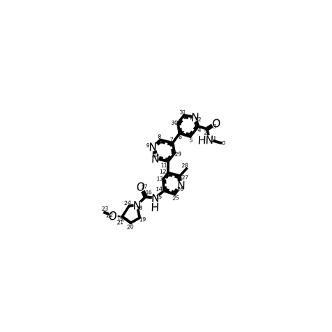 CNC(=O)c1cc(-c2cnnc(-c3cc(NC(=O)N4CC[C@H](OC)C4)cnc3C)c2)ccn1